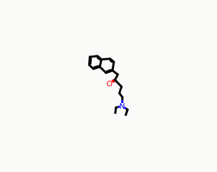 CCN(CC)CCCC(=O)Cc1ccc2ccccc2c1